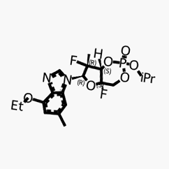 CCOc1cc(C)cc2c1ncn2[C@@H]1O[C@]2(F)COP(=O)(OC(C)C)O[C@H]2[C@@]1(C)F